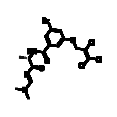 C[C@H](NC(=O)c1cc(Br)cc(OCC(Cl)=C(Cl)Cl)c1)C(=O)/N=C/N(C)C